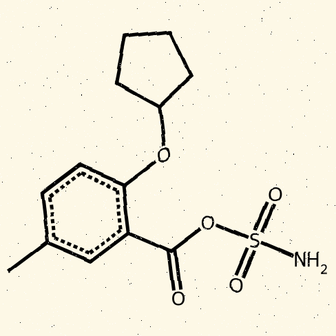 Cc1ccc(OC2CCCC2)c(C(=O)OS(N)(=O)=O)c1